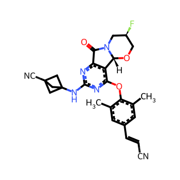 Cc1cc(/C=C/C#N)cc(C)c1Oc1nc(NC23CC(C#N)(C2)C3)nc2c1[C@H]1OC[C@H](F)CN1C2=O